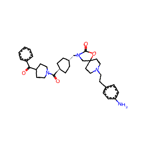 Nc1ccc(CCN2CCC3(CC2)CN(C[C@H]2CC[C@H](C(=O)N4CCC(C(=O)c5ccccc5)CC4)CC2)C(=O)O3)cc1